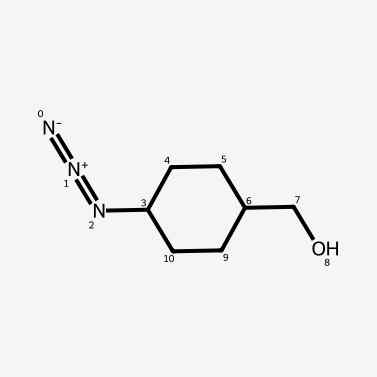 [N-]=[N+]=NC1CCC(CO)CC1